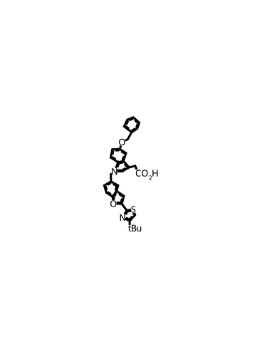 CC(C)(C)c1csc(-c2cc3cc(Cn4cc(CC(=O)O)c5cc(OCc6ccccc6)ccc54)ccc3o2)n1